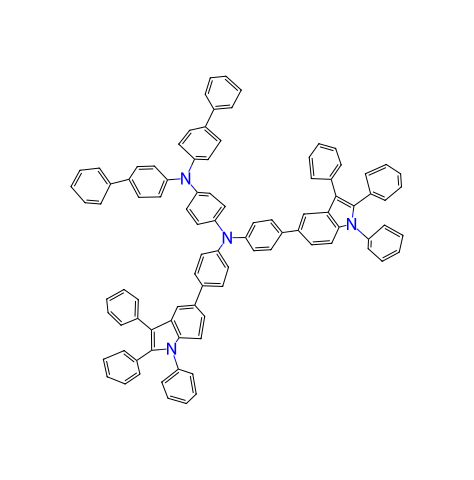 c1ccc(-c2ccc(N(c3ccc(-c4ccccc4)cc3)c3ccc(N(c4ccc(-c5ccc6c(c5)c(-c5ccccc5)c(-c5ccccc5)n6-c5ccccc5)cc4)c4ccc(-c5ccc6c(c5)c(-c5ccccc5)c(-c5ccccc5)n6-c5ccccc5)cc4)cc3)cc2)cc1